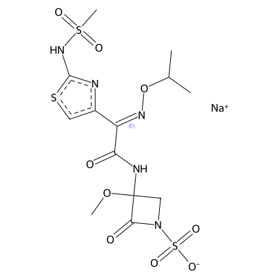 COC1(NC(=O)/C(=N/OC(C)C)c2csc(NS(C)(=O)=O)n2)CN(S(=O)(=O)[O-])C1=O.[Na+]